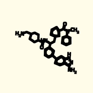 CN(C(=O)c1cccc(CC(NC(=O)C2CCC(CN)CC2)c2cccc(-c3ccc4c(N)n[nH]c4c3)c2)c1)c1ccccc1